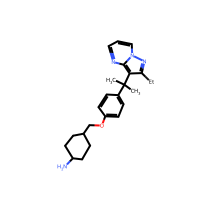 CCc1nn2cccnc2c1C(C)(C)c1ccc(OCC2CCC(N)CC2)cc1